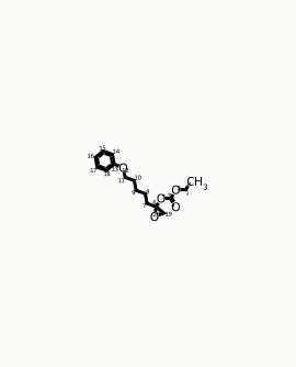 CCOC(=O)OC1(CCCCCOc2ccccc2)CO1